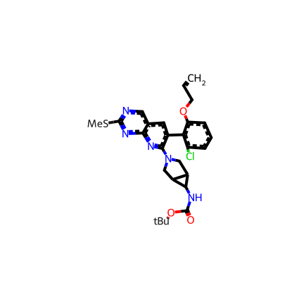 C=CCOc1cccc(Cl)c1-c1cc2cnc(SC)nc2nc1N1CC2C(C1)C2NC(=O)OC(C)(C)C